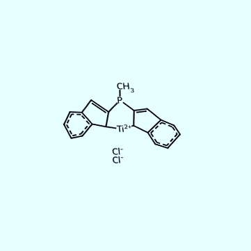 CP1C2=Cc3ccccc3[CH]2[Ti+2][CH]2C1=Cc1ccccc12.[Cl-].[Cl-]